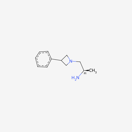 C[C@@H](N)CN1CC(c2ccccc2)C1